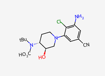 CC(C)(C)N(C(=O)O)[C@@H]1CCN(c2cc(C#N)cc(N)c2Cl)C[C@H]1O